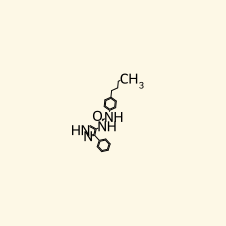 CCCCc1ccc(NC(=O)Nc2c[nH]nc2-c2ccccc2)cc1